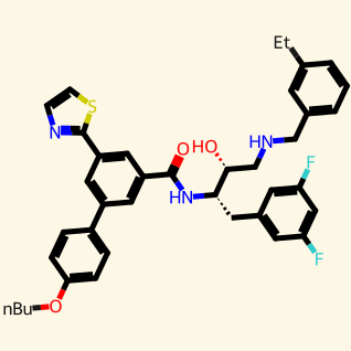 CCCCOc1ccc(-c2cc(C(=O)N[C@@H](Cc3cc(F)cc(F)c3)[C@H](O)CNCc3cccc(CC)c3)cc(-c3nccs3)c2)cc1